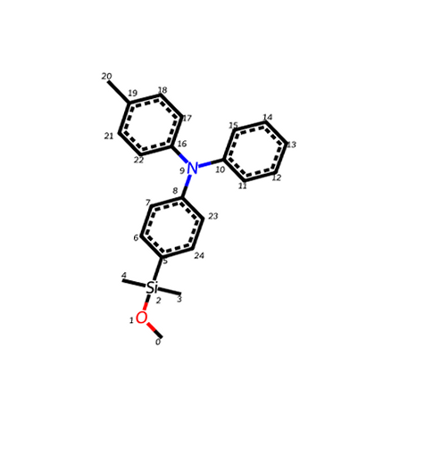 CO[Si](C)(C)c1ccc(N(c2ccccc2)c2ccc(C)cc2)cc1